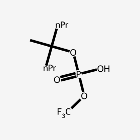 CCCC(C)(CCC)OP(=O)(O)OC(F)(F)F